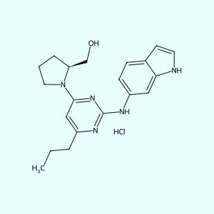 CCCc1cc(N2CCC[C@H]2CO)nc(Nc2ccc3cc[nH]c3c2)n1.Cl